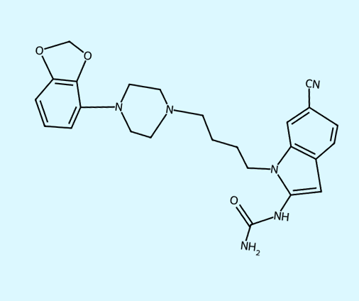 N#Cc1ccc2cc(NC(N)=O)n(CCCCN3CCN(c4cccc5c4OCO5)CC3)c2c1